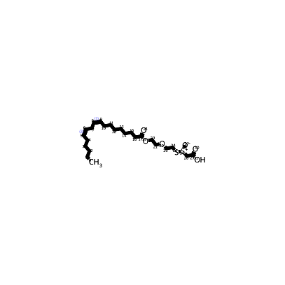 CCCCC/C=C\C/C=C\CCCCCCCC(=O)OCCOCCS[S+]([O-])CC(=O)O